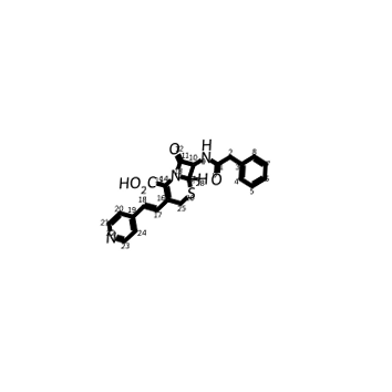 O=C(Cc1ccccc1)NC1C(=O)N2C(C(=O)O)=C(C=Cc3ccncc3)CS[C@@H]12